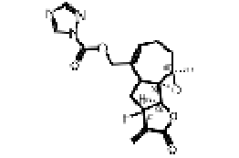 C=C1C(=O)O[C@H]2[C@H]1CC1C(COC(=O)n3cncn3)=CCC[C@@]3(C)O[C@@]123